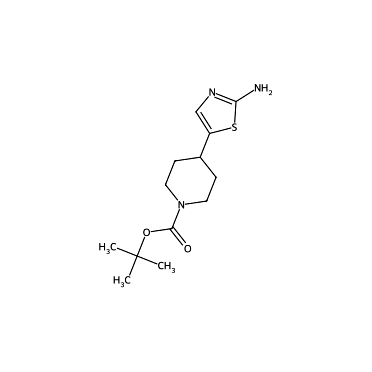 CC(C)(C)OC(=O)N1CCC(c2cnc(N)s2)CC1